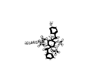 O=C(c1ccccc1)[C@]1(O)[C@H](OP(=O)([O-])[O-])[C@@H](OP(=O)([O-])[O-])[C@@](O)(C(=O)c2ccccc2)[C@@H](OP(=O)([O-])[O-])[C@H]1OP(=O)([O-])[O-].[Li+].[Li+].[Li+].[Li+].[Li+].[Li+].[Li+].[Li+]